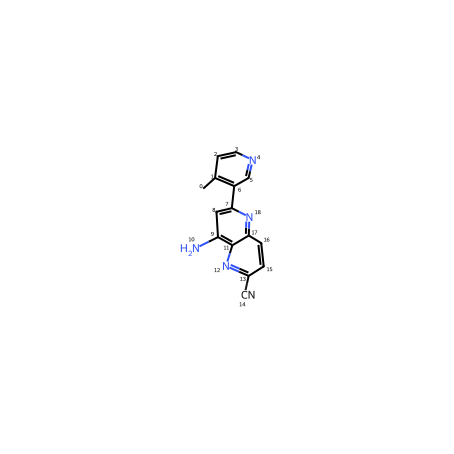 Cc1ccncc1-c1cc(N)c2nc(C#N)ccc2n1